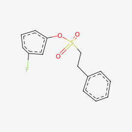 O=S(=O)(CCc1ccccc1)Oc1cccc(F)c1